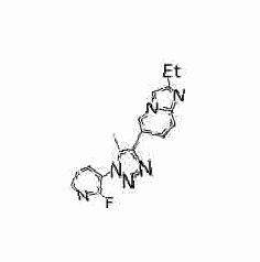 CCc1cn2cc(-c3nnn(-c4cccnc4F)c3C)ccc2n1